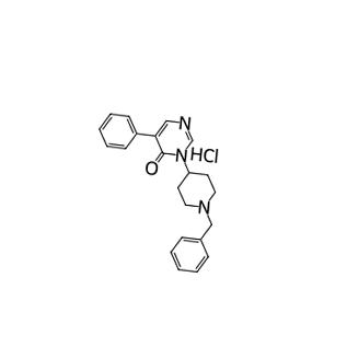 Cl.O=c1c(-c2ccccc2)cncn1C1CCN(Cc2ccccc2)CC1